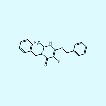 CC1NC(OCc2ccccc2)=C(Br)C(=O)N1Cc1ccccc1